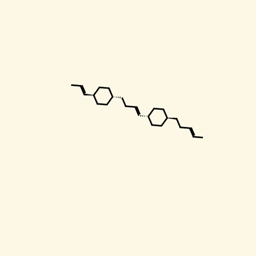 CC=CCC[C@H]1CC[C@H](C=CCC[C@H]2CC[C@H](C=CC)CC2)CC1